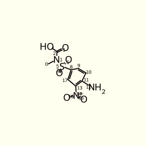 CN(C(=O)O)S(=O)(=O)c1ccc(N)c([N+](=O)[O-])c1